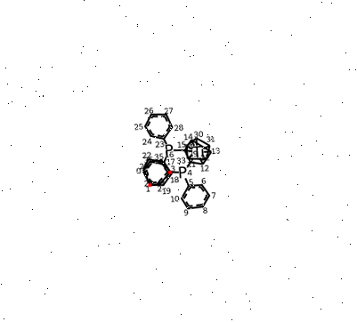 c1ccc(P(c2ccccc2)[C]23[CH]4[CH]5[CH]6[C]2(P(c2ccccc2)c2ccccc2)[Ti]54632789[CH]3[CH]2[CH]7[CH]8[CH]39)cc1